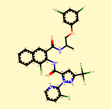 CC(COc1cc(F)cc(F)c1)NC(=O)c1cc2ccccc2c(Cl)c1NC(=O)c1cc(C(F)(F)F)nn1-c1ncccc1Cl